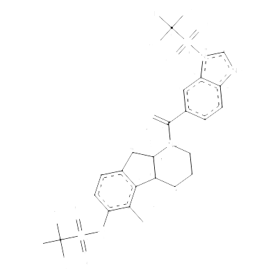 Cc1c(OS(=O)(=O)C(F)(F)F)ccc2c1[C@@H]1CCCN(C(=O)c3ccc4ncn(S(=O)(=O)C(F)(F)F)c4c3)[C@@H]1C2